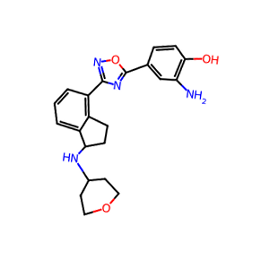 Nc1cc(-c2nc(-c3cccc4c3CCC4NC3CCOCC3)no2)ccc1O